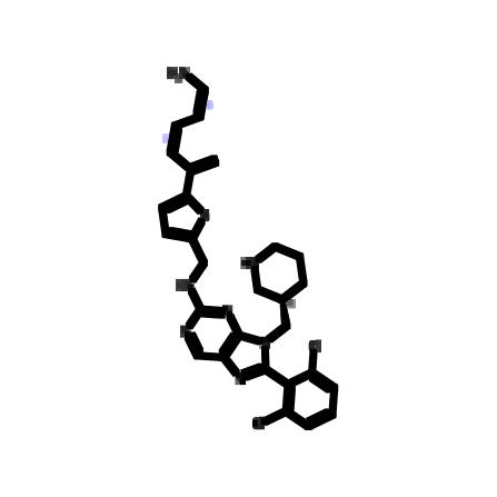 C=C(/C=C\C=C/N)c1ccc(CNc2ncc3nc(-c4c(Cl)cccc4Cl)n(C[C@@H]4CCCNC4)c3n2)s1